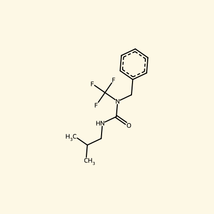 CC(C)CNC(=O)N(Cc1ccccc1)C(F)(F)F